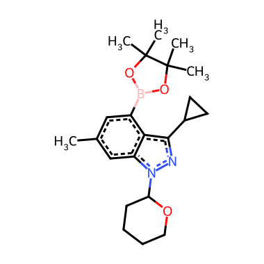 Cc1cc(B2OC(C)(C)C(C)(C)O2)c2c(C3CC3)nn(C3CCCCO3)c2c1